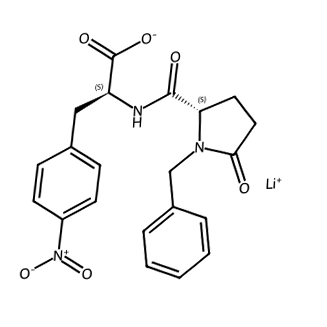 O=C([O-])[C@H](Cc1ccc([N+](=O)[O-])cc1)NC(=O)[C@@H]1CCC(=O)N1Cc1ccccc1.[Li+]